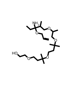 C=CCOC(N)(CC)C(C)COC(C)COC(C)(C)CCOC(C)(C)CCOCCO